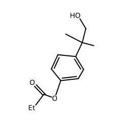 CCC(=O)Oc1ccc(C(C)(C)CO)cc1